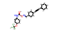 O=C(Nc1ccc(OC(F)(F)F)cc1)ON=Cc1ccc(C#Cc2ccccc2)cc1